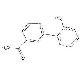 CC(=O)c1cccc(-c2ccccc2O)c1